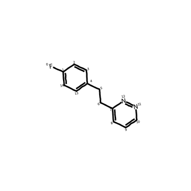 Fc1ccc(CCc2cccnn2)cc1